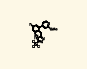 COc1cc(-c2cc(F)cc(C(C)C)c2Cc2nnc(S(=O)(=O)Cl)[nH]2)ccn1